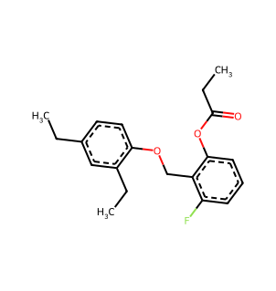 CCC(=O)Oc1cccc(F)c1COc1ccc(CC)cc1CC